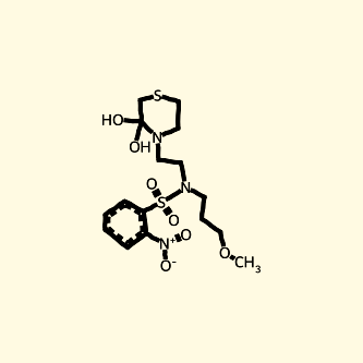 COCCCN(CCN1CCSCC1(O)O)S(=O)(=O)c1ccccc1[N+](=O)[O-]